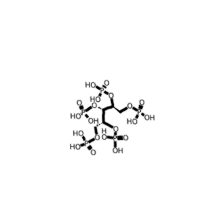 O=P(O)(O)OC[C@H](OP(=O)(O)O)[C@@H](OP(=O)(O)O)[C@@H](COP(=O)(O)O)OP(=O)(O)O